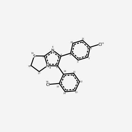 Clc1ccc(-c2nc3n(c2-c2ccccc2Cl)CCS3)cc1